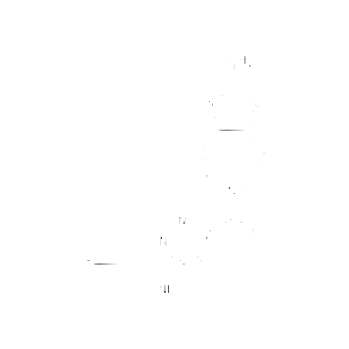 Cc1nc2c(s1)CCN(C(=O)c1cc3n(n1)C=C(Cl)CN3)CC2